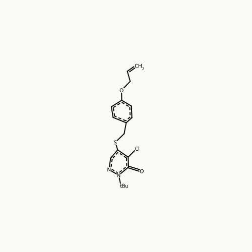 C=CCOc1ccc(CSc2cnn(C(C)(C)C)c(=O)c2Cl)cc1